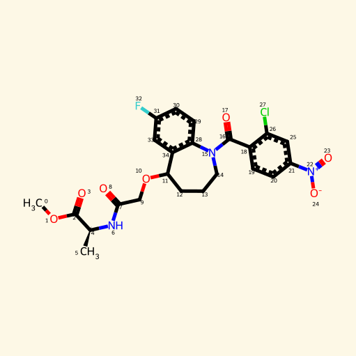 COC(=O)[C@H](C)NC(=O)COC1CCCN(C(=O)c2ccc([N+](=O)[O-])cc2Cl)c2ccc(F)cc21